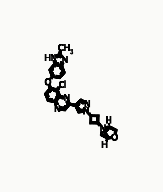 Cc1nc2ccc(Oc3ccc4ncc(-c5cnn(C6CC(N7C[C@@H]8C[C@H]7CO8)C6)c5)nc4c3Cl)cc2[nH]1